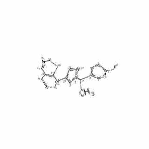 CC(c1ccc(F)cc1)n1cc(N2CC=CC3=C2CCN=C3)cn1